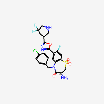 N[C@H]1CS(=O)(=O)c2cc(F)c(-c3nnc(C4CNCC(F)(F)C4)o3)cc2N(Cc2ccc(Cl)cc2)C1=O